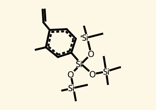 C=Cc1ccc([Si](O[Si](C)(C)C)(O[Si](C)(C)C)O[Si](C)(C)C)cc1C